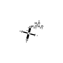 O.O.O.[O]=[Cr](=[O])([F])[F]